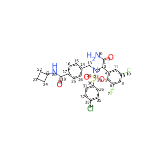 NC(=O)C(c1cc(F)cc(F)c1)N(Cc1ccc(C(=O)NC2CCC2)cc1)S(=O)(=O)c1ccc(Cl)cc1